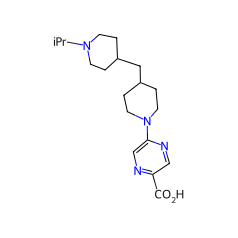 CC(C)N1CCC(CC2CCN(c3cnc(C(=O)O)cn3)CC2)CC1